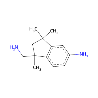 CC1(C)CC(C)(CN)c2ccc(N)cc21